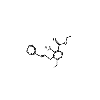 CCOC(=O)c1ccc(CC)c(CC=Cc2ccccc2)c1N